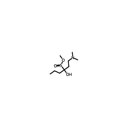 CCCC(O)(CCN(C)C)S(=O)OC